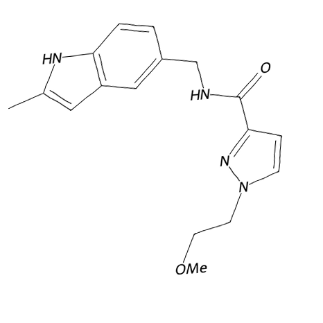 COCCn1ccc(C(=O)NCc2ccc3[nH]c(C)cc3c2)n1